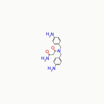 NC(=O)CC(=O)N(Cc1ccc(N)cc1)Cc1ccc(N)cc1